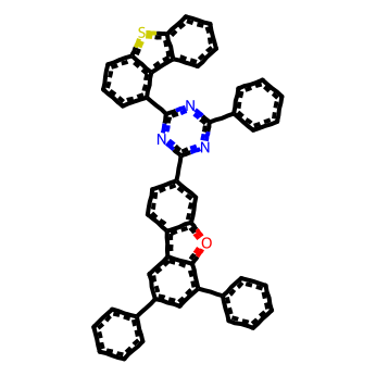 c1ccc(-c2cc(-c3ccccc3)c3oc4cc(-c5nc(-c6ccccc6)nc(-c6cccc7sc8ccccc8c67)n5)ccc4c3c2)cc1